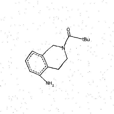 CC(C)(C)C(=O)N1CCc2c(N)cccc2C1